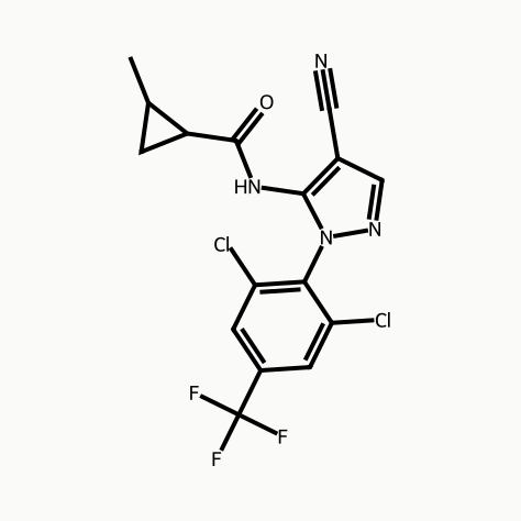 CC1CC1C(=O)Nc1c(C#N)cnn1-c1c(Cl)cc(C(F)(F)F)cc1Cl